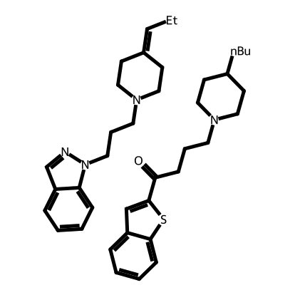 CCC=C1CCN(CCCn2ncc3ccccc32)CC1.CCCCC1CCN(CCCC(=O)c2cc3ccccc3s2)CC1